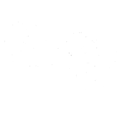 c1ccc(-c2ccc(N(c3ccc(-c4cccc5c4-c4ccccc4C54c5ccccc5Oc5ccccc54)cc3)c3cccc4sc5c6ccccc6ccc5c34)cc2)cc1